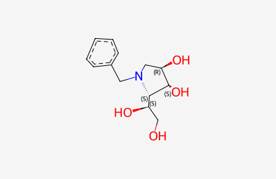 OC[C@@H](O)[C@H]1[C@H](O)[C@H](O)CN1Cc1ccccc1